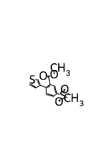 COC(=O)c1cc(S(C)(=O)=O)ccc1-c1ccsc1